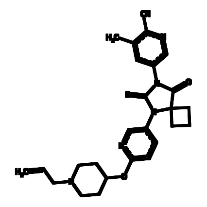 C=CCN1CCC(Oc2ccc(N3C(=S)N(c4cnc(C#N)c(C)c4)C(=O)C34CCC4)cn2)CC1